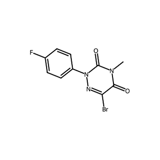 Cn1c(=O)c(Br)nn(-c2ccc(F)cc2)c1=O